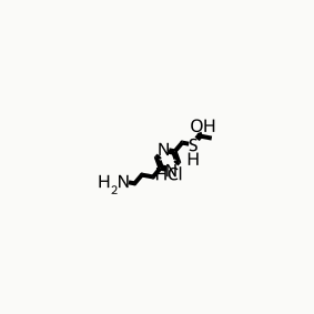 CC(O)=[SH]Cc1cnc(CCCN)cn1.Cl